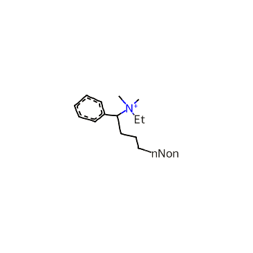 CCCCCCCCCCCCC(c1ccccc1)[N+](C)(C)CC